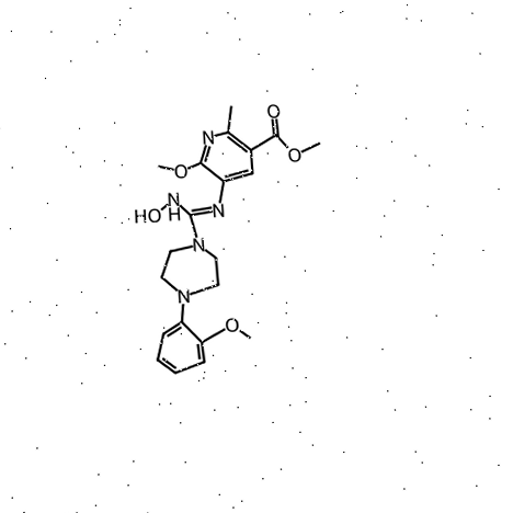 COC(=O)c1cc(N=C(NO)N2CCN(c3ccccc3OC)CC2)c(OC)nc1C